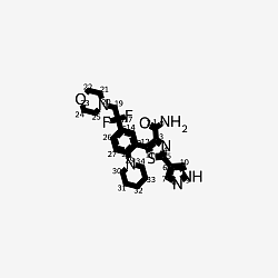 NC(=O)c1nc(-c2cn[nH]c2)sc1-c1cc(C(F)(F)CN2CCOCC2)ccc1N1CCCCC1